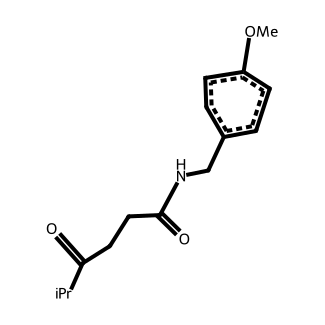 COc1ccc(CNC(=O)CCC(=O)C(C)C)cc1